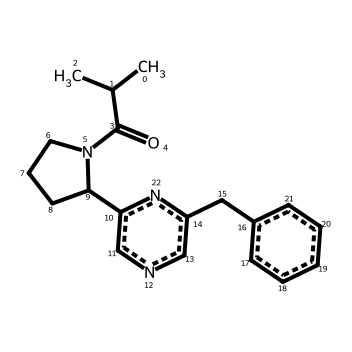 CC(C)C(=O)N1CCCC1c1cncc(Cc2ccccc2)n1